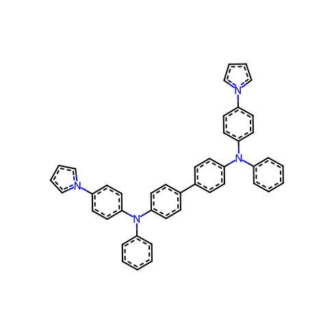 c1ccc(N(c2ccc(-c3ccc(N(c4ccccc4)c4ccc(-n5cccc5)cc4)cc3)cc2)c2ccc(-n3cccc3)cc2)cc1